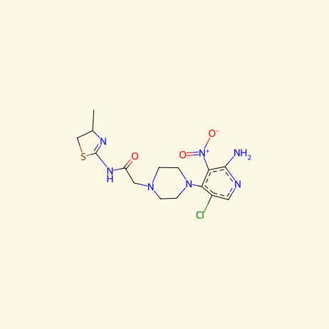 CC1CSC(NC(=O)CN2CCN(c3c(Cl)cnc(N)c3[N+](=O)[O-])CC2)=N1